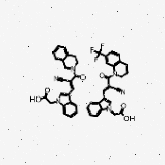 N#CC(=Cc1cn(CC(=O)O)c2ccccc12)C(=O)N1CCCc2ccc(C(F)(F)F)cc21.N#CC(=Cc1cn(CC(=O)O)c2ccccc12)C(=O)N1CCc2ccccc2C1